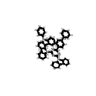 C1=Cc2c(c3ccccc3n2-c2nc(-c3ccc(-c4ccccc4)cc3)nc(-n3c4ccccc4c4ccc5c(c6ccccc6n5-c5ccccc5)c43)n2)CC1